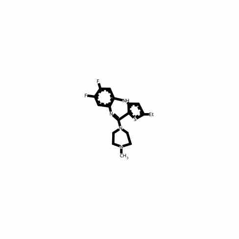 CCc1cc2c(s1)C(N1CCN(C)CC1)=Nc1cc(F)c(F)cc1N2